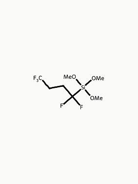 CO[Si](OC)(OC)C(F)(F)CCC(F)(F)F